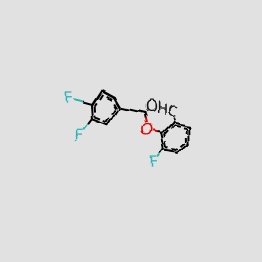 O=Cc1cccc(F)c1OCc1ccc(F)c(F)c1